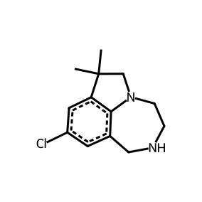 CC1(C)CN2CCNCc3cc(Cl)cc1c32